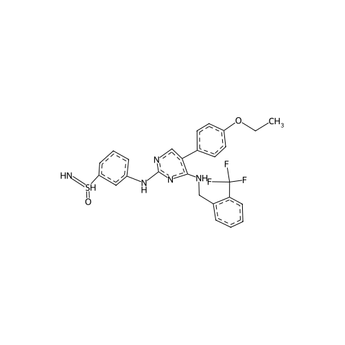 CCOc1ccc(-c2cnc(Nc3cccc([SH](=N)=O)c3)nc2NCc2ccccc2C(F)(F)F)cc1